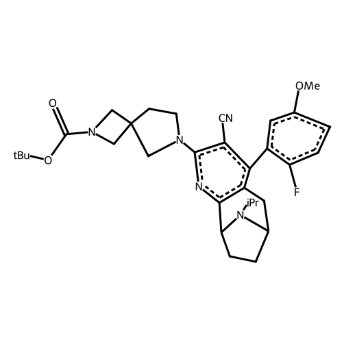 COc1ccc(F)c(-c2c(C#N)c(N3CCC4(CN(C(=O)OC(C)(C)C)C4)C3)nc3c2CC2CCC3N2C(C)C)c1